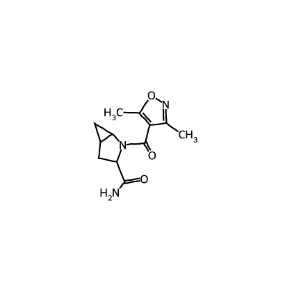 Cc1noc(C)c1C(=O)N1C(C(N)=O)CC2CC21